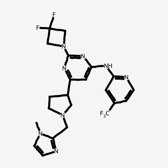 Cn1ccnc1CN1CCC(c2cc(Nc3cc(C(F)(F)F)ccn3)nc(N3CC(F)(F)C3)n2)C1